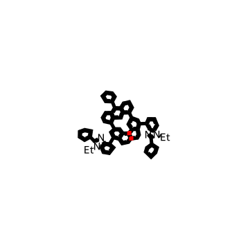 CCn1c(-c2ccccc2)nc2c(-c3cc(-c4cccc5c(-c6ccccc6)c6cccc(-c7cc(-c8cccc9c8nc(-c8ccccc8)n9CC)c8ccccc8c7)c6cc45)cc4ccccc34)cccc21